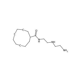 NCCNCCNC(=O)C1CCCCCCCCC1